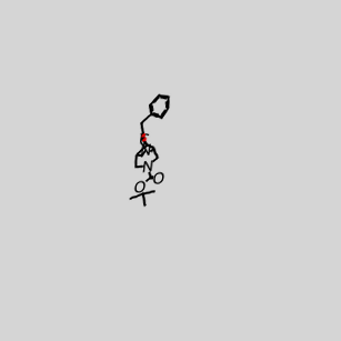 CC(C)(C)OC(=O)N1CC2CN(Cc3ccccc3)CC(C1)C21CCCCC1